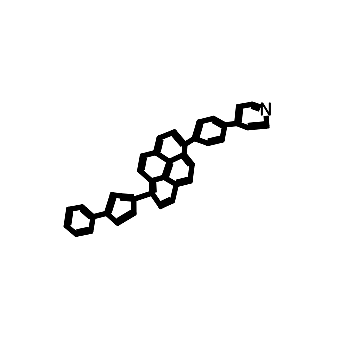 c1ccc(-c2ccc(-c3ccc4ccc5c(-c6ccc(-c7ccncc7)cc6)ccc6ccc3c4c65)cc2)cc1